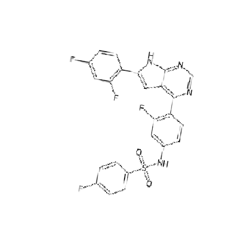 O=S(=O)(Nc1ccc(-c2ncnc3[nH]c(-c4ccc(F)cc4F)cc23)c(F)c1)c1ccc(F)cc1